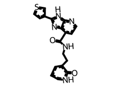 O=C(NCCc1ccc[nH]c1=O)c1ccnc2[nH]c(-c3ccsc3)nc12